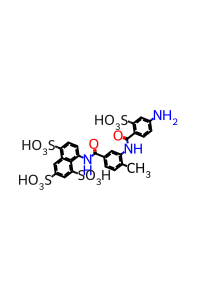 Cc1ccc(C(=O)Nc2ccc(S(=O)(=O)O)c3cc(S(=O)(=O)O)cc(S(=O)(=O)O)c23)cc1NC(=O)c1ccc(N)cc1S(=O)(=O)O